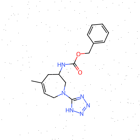 CC1=CCN(c2nnn[nH]2)CC(NC(=O)OCc2ccccc2)C1